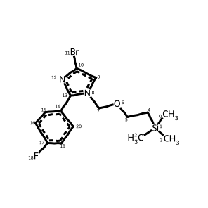 C[Si](C)(C)CCOCn1cc(Br)nc1-c1ccc(F)cc1